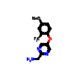 COc1ccc(Oc2cnc(CN)nc2)c(C(F)(F)F)c1